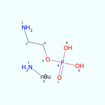 CCCCN.NCCOP(=O)(O)O